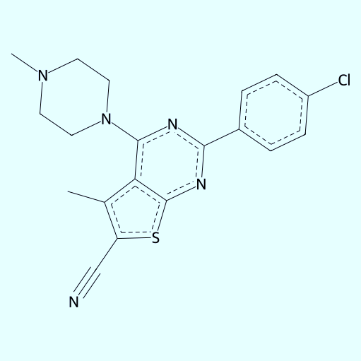 Cc1c(C#N)sc2nc(-c3ccc(Cl)cc3)nc(N3CCN(C)CC3)c12